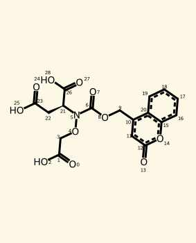 O=C(O)CON(C(=O)OCc1cc(=O)oc2ccccc12)[C@@H](CC(=O)O)C(=O)O